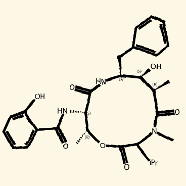 CC(C)C1C(=O)O[C@H](C)[C@H](NC(=O)c2ccccc2O)C(=O)N[C@@H](Cc2ccccc2)[C@@H](O)[C@@H](C)C(=O)N1C